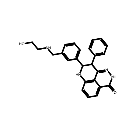 O=c1[nH]nc2c3c(cccc13)NC(c1cccc(CNCCO)c1)C2c1ccccc1